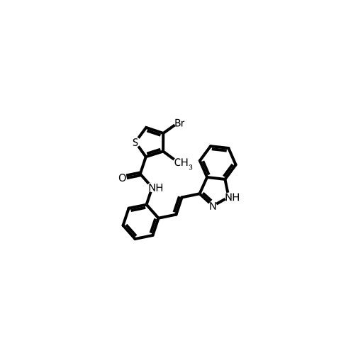 Cc1c(Br)csc1C(=O)Nc1ccccc1/C=C/c1n[nH]c2ccccc12